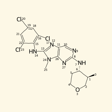 C[C@H]1COCC[C@@H]1Nc1ncc2nc(Nc3c(Cl)cc(Cl)cc3Cl)n(C)c2n1